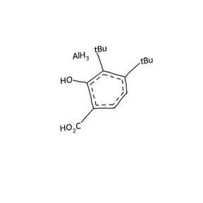 CC(C)(C)c1ccc(C(=O)O)c(O)c1C(C)(C)C.[AlH3]